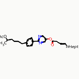 CCCCCCCC=CCC(=O)Oc1cnc(-c2ccc(CCCCC(C)OC(C)=O)cc2)nc1